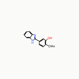 COc1ccc(-c2nc3ccccc3[nH]2)cc1O